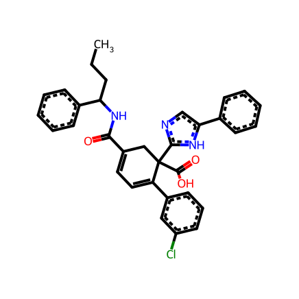 CCCC(NC(=O)C1=CC=C(c2cccc(Cl)c2)C(C(=O)O)(c2ncc(-c3ccccc3)[nH]2)C1)c1ccccc1